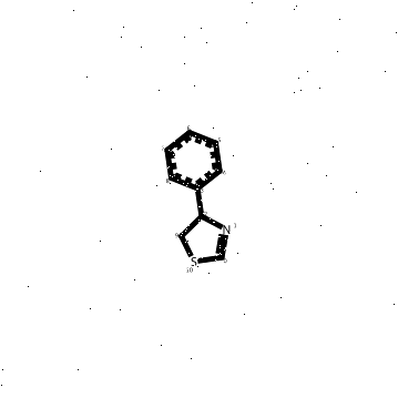 C1=NC(c2ccccc2)CS1